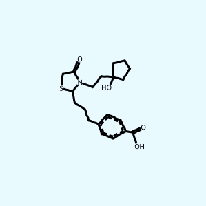 O=C(O)c1ccc(CCCC2SCC(=O)N2CCC2(O)CCCC2)cc1